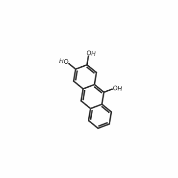 Oc1cc2cc3ccccc3c(O)c2cc1O